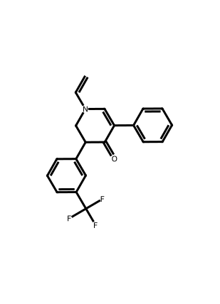 C=CN1C=C(c2ccccc2)C(=O)C(c2cccc(C(F)(F)F)c2)C1